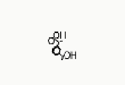 CC(O)c1cccc([C@H](C)C(=O)O)c1